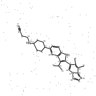 Cc1c(-c2[nH]c3ccc(C4CCC(NCCC#N)CC4)nc3c2C(C)C)cn2ncnc2c1C